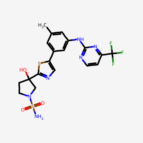 Cc1cc(Nc2nccc(C(F)(F)F)n2)cc(-c2cnc(C3(O)CCN(S(N)(=O)=O)C3)s2)c1